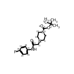 CC(C)(C)OC(=O)N1CCN(CC(=O)Nc2ccc(F)cc2)CC1